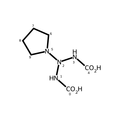 O=C(O)NN(NC(=O)O)N1CCCC1